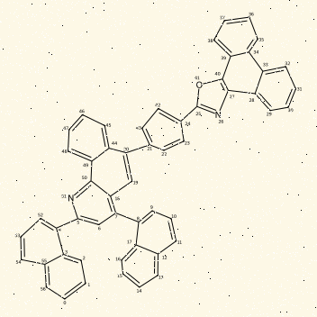 c1ccc2c(-c3cc(-c4cccc5ccccc45)c4cc(-c5ccc(-c6nc7c8ccccc8c8ccccc8c7o6)cc5)c5ccccc5c4n3)cccc2c1